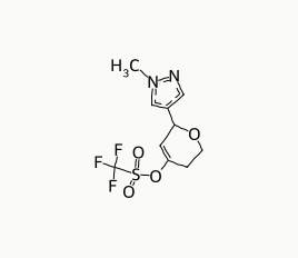 Cn1cc(C2C=C(OS(=O)(=O)C(F)(F)F)CCO2)cn1